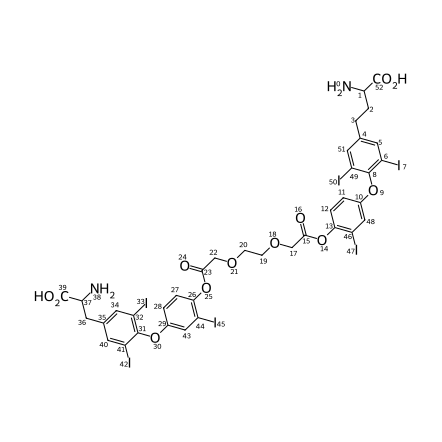 NC(CCc1cc(I)c(Oc2ccc(OC(=O)COCCOCC(=O)Oc3ccc(Oc4c(I)cc(CC(N)C(=O)O)cc4I)cc3I)c(I)c2)c(I)c1)C(=O)O